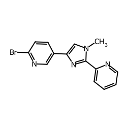 Cn1cc(-c2ccc(Br)nc2)nc1-c1ccccn1